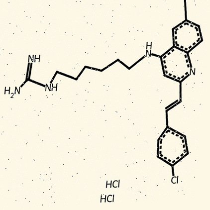 Cc1ccc2nc(C=Cc3ccc(Cl)cc3)cc(NCCCCCCNC(=N)N)c2c1.Cl.Cl